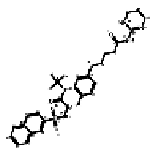 CC(C)(C)OC(=O)[C@H](Cc1ccc(OCCCC(=O)NC2=NCCCN2)cc1)NS(=O)(=O)c1ccc2ccccc2c1